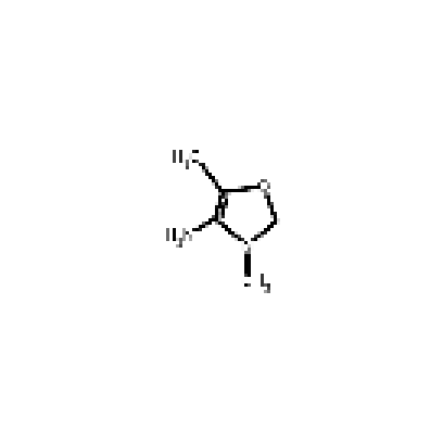 CC1=C(N)N(C)CO1